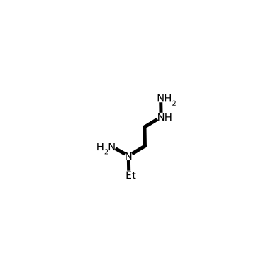 CCN(N)CCNN